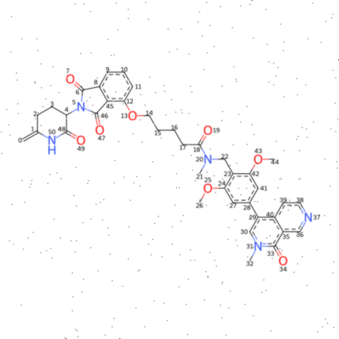 C=C1CCC(N2C(=O)c3cccc(OCCCCC(=O)N(C)Cc4c(OC)cc(-c5cn(C)c(=O)c6cnccc56)cc4OC)c3C2=O)C(=O)N1